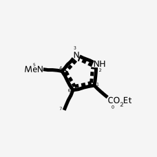 CCOC(=O)c1[nH]nc(NC)c1C